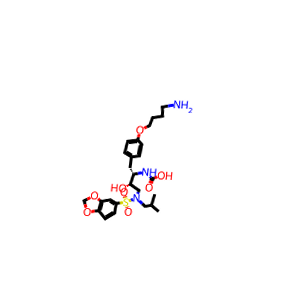 CC(C)CN(C[C@@H](O)[C@H](Cc1ccc(OCCCCN)cc1)NC(=O)O)S(=O)(=O)c1ccc2c(c1)OCO2